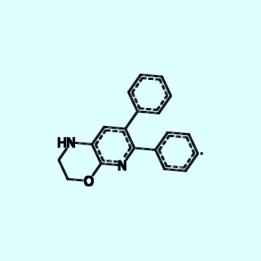 [c]1ccc(-c2nc3c(cc2-c2ccccc2)NCCO3)cc1